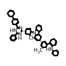 CC1C[C@H](C2N=C(C3=CC=C(C4CC=CCC4)CC3)NC(c3ccccc3)N2)C=CC1N1C2=C(C[C@H](C3=C[C@@H](C)CC(C4=C(NC5=CCCC=C5)C=CCC4)=C3)C=C2)C2CC=CCC21